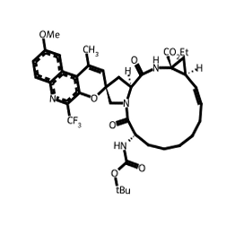 CCOC(=O)[C@@]12C[C@H]1C=CCCCCC[C@H](NC(=O)OC(C)(C)C)C(=O)N1C[C@@]3(C=C(C)c4c(c(C(F)(F)F)nc5ccc(OC)cc45)O3)C[C@H]1C(=O)N2